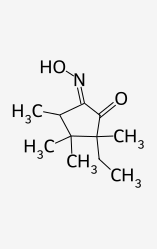 CCC1(C)C(=O)/C(=N/O)C(C)C1(C)C